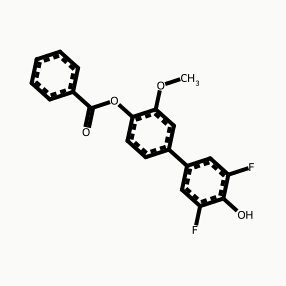 COc1cc(-c2cc(F)c(O)c(F)c2)ccc1OC(=O)c1ccccc1